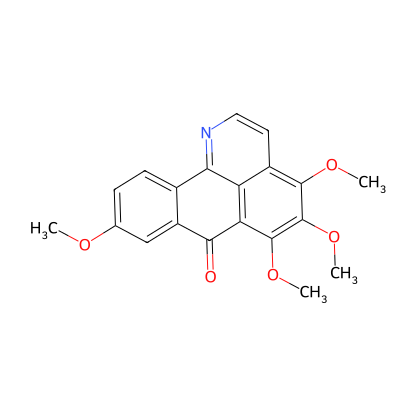 COc1ccc2c(c1)C(=O)c1c(OC)c(OC)c(OC)c3ccnc-2c13